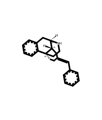 C(=C1CC[C@]23CCN[C@H](Cc4ccccc42)[C@@H]3C1)c1ccccc1